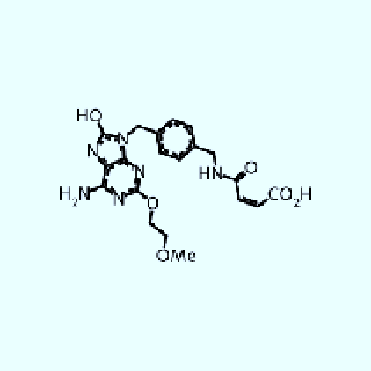 COCCOc1nc(N)c2nc(O)n(Cc3ccc(CNC(=O)/C=C\C(=O)O)cc3)c2n1